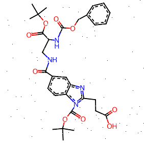 CC(C)(C)OC(=O)C(CNC(=O)c1ccc2c(c1)nc(CCC(=O)O)n2C(=O)OC(C)(C)C)NC(=O)OCc1ccccc1